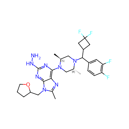 Cc1nc2c(N3C[C@@H](C)N(C(c4ccc(F)c(F)c4)C4CC(F)(F)C4)C[C@@H]3C)nc(NN)nc2n1CC1CCCO1